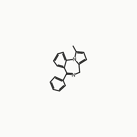 Cc1ccc2n1-c1ccccc1C(c1ccccc1)=NC2